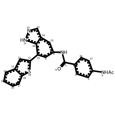 CC(=O)Nc1ccc(C(=O)Nc2cc(-c3cc4ccccc4s3)c3[nH]ncc3c2)cc1